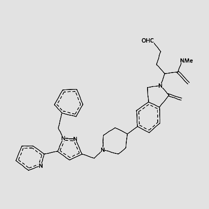 C=C(NC)C(CCC=O)N1Cc2cc(C3CCN(Cc4cc(-c5ccccn5)n(Cc5ccccc5)n4)CC3)ccc2C1=C